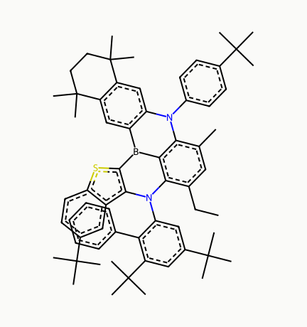 CCc1cc(C)c2c3c1N(c1cc(C(C)(C)C)cc(C(C)(C)C)c1-c1ccccc1)c1c(sc4ccc(C(C)(C)C)cc14)B3c1cc3c(cc1N2c1ccc(C(C)(C)C)cc1)C(C)(C)CCC3(C)C